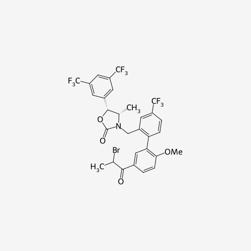 COc1ccc(C(=O)C(C)Br)cc1-c1ccc(C(F)(F)F)cc1CN1C(=O)O[C@H](c2cc(C(F)(F)F)cc(C(F)(F)F)c2)[C@@H]1C